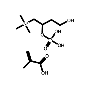 C=C(C)C(=O)O.C[N+](C)(C)CC(CCO)OP(=O)(O)O